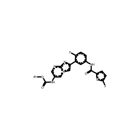 CC(C)OC(=O)Nc1cnc2nc(-c3cc(NC(=O)c4ccc(F)s4)ccc3F)cn2c1